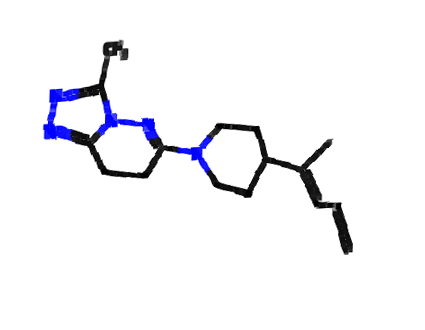 C=C/C=C(\C)C1CCN(C2=Nn3c(nnc3C(F)(F)F)CC2)CC1